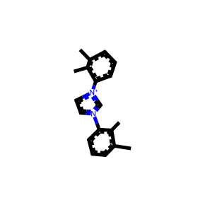 Cc1cccc(-n2cc[n+](-c3cccc(C)c3C)c2)c1C